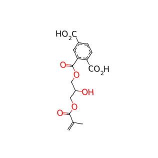 C=C(C)C(=O)OCC(O)COC(=O)c1cc(C(=O)O)ccc1C(=O)O